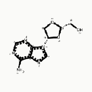 Nc1ncnc2c1ncn2[C@@H]1CO[C@H](CO)O1